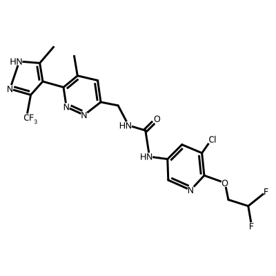 Cc1cc(CNC(=O)Nc2cnc(OCC(F)F)c(Cl)c2)nnc1-c1c(C(F)(F)F)n[nH]c1C